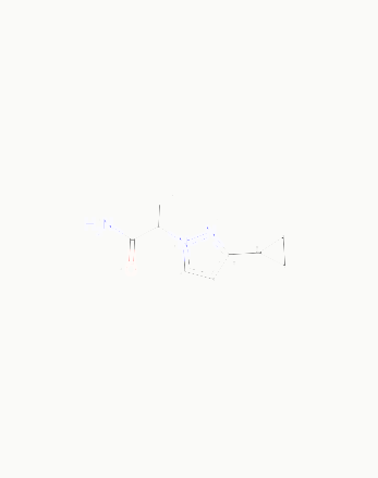 CC(C)C(C(N)=O)n1ccc(C2CC2)n1